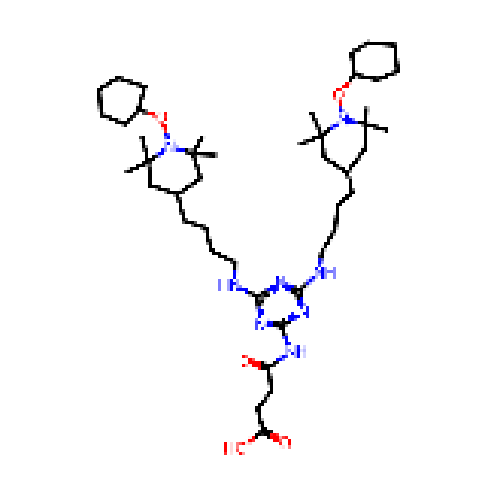 CC1(C)CC(CCCCNc2nc(NCCCCC3CC(C)(C)N(OC4CCCCC4)C(C)(C)C3)nc(NC(=O)CCC(=O)O)n2)CC(C)(C)N1OC1CCCCC1